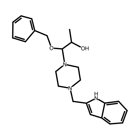 CC(O)C(OCc1ccccc1)N1CCN(Cc2cc3ccccc3[nH]2)CC1